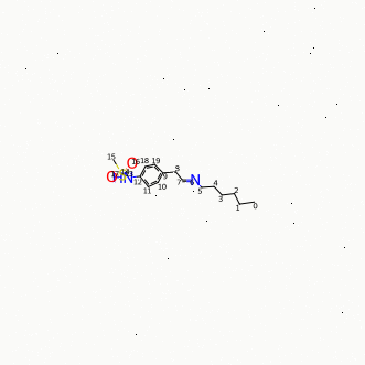 CCCCCCN=CCc1ccc(NS(C)(=O)=O)cc1